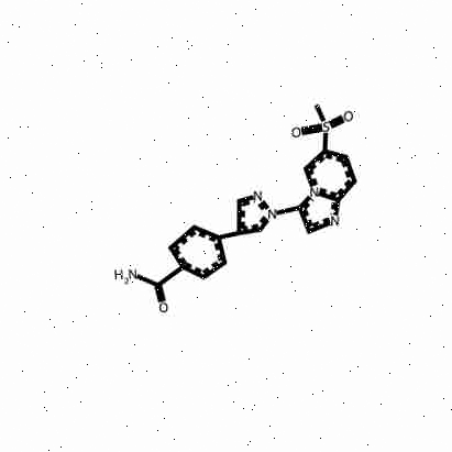 CS(=O)(=O)c1ccc2ncc(-n3cc(-c4ccc(C(N)=O)cc4)cn3)n2c1